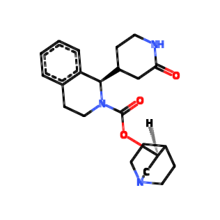 O=C1CC([C@@H]2c3ccccc3CCN2C(=O)O[C@@H]2CN3CCC2CC3)CCN1